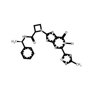 CCn1c(-c2nc(C)no2)nc2sc(N3CCC3C(=O)N[C@H](C)c3ccccc3)nc2c1=O